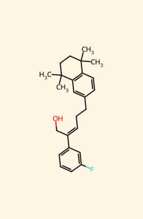 CC1(C)CCC(C)(C)c2cc(CC/C=C(\CO)c3cccc(F)c3)ccc21